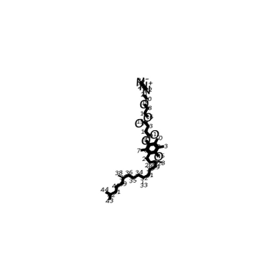 Cc1c(C)c2c(c(C)c1OC(=O)CCC(=O)OCCOCCN=[N+]=[N-])CC[C@@](C)(CCC[C@H](C)CCC[C@H](C)CCCC(C)C)O2